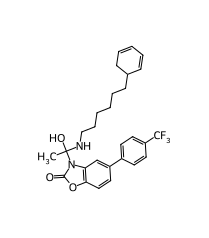 CC(O)(NCCCCCCC1C=CC=CC1)n1c(=O)oc2ccc(-c3ccc(C(F)(F)F)cc3)cc21